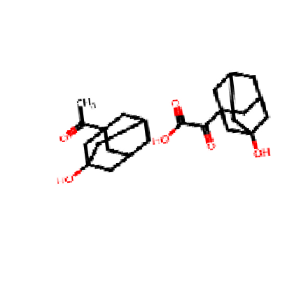 CC(=O)C12CC3CC(CC(O)(C3)C1)C2.O=C(O)C(=O)C12CC3CC(CC(O)(C3)C1)C2